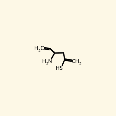 C=C[C](N)CC(=C)S